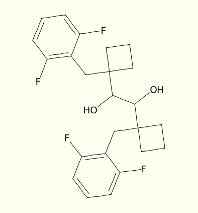 OC(C(O)C1(Cc2c(F)cccc2F)CCC1)C1(Cc2c(F)cccc2F)CCC1